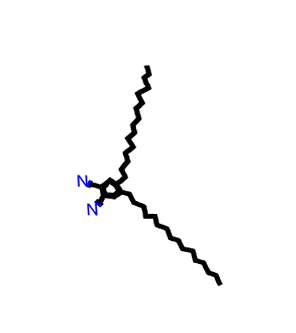 CCCCCCCCCCCCCCCCc1cc(C#N)c(C#N)cc1CCCCCCCCCCCCCCCC